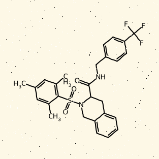 Cc1cc(C)c(S(=O)(=O)N2Cc3ccccc3CC2C(=O)NCc2ccc(C(F)(F)F)cc2)c(C)c1